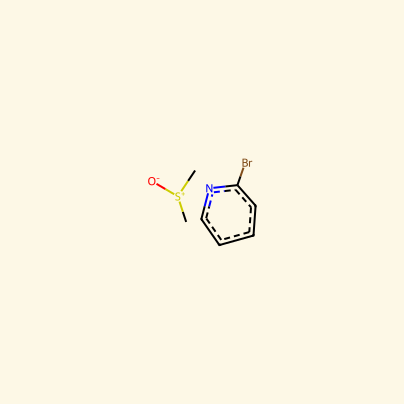 Brc1ccccn1.C[S+](C)[O-]